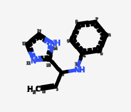 C=CC(Nc1ccccc1)c1ncc[nH]1